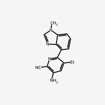 CCc1cc(N)c(C#N)nc1-c1cccc2c1ncn2C